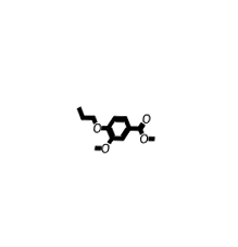 CCCOc1ccc(C(=O)OC)cc1OC